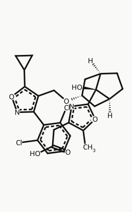 Cc1oc([C@]2(O)[C@@H]3CC[C@H]2C[C@H](OCc2c(-c4c(Cl)cccc4Cl)noc2C2CC2)C3)nc1CC(=O)O